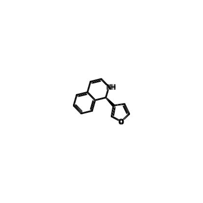 C1=Cc2ccccc2[C@H](c2ccoc2)N1